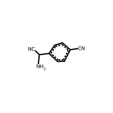 N#Cc1ccc(C(N)C#N)cc1